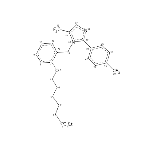 CCOC(=O)CCCCCOc1ccccc1Cn1c(C(F)(F)F)cnc1-c1ccc(C(F)(F)F)cc1